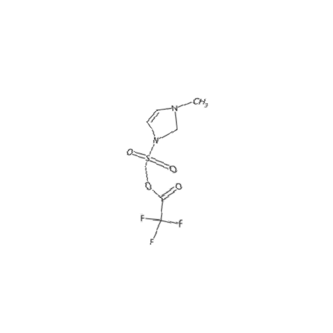 CN1C=CN(S(=O)(=O)OC(=O)C(F)(F)F)C1